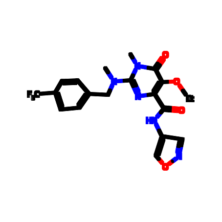 CCOc1c(C(=O)Nc2cnoc2)nc(N(C)Cc2ccc(C(F)(F)F)cc2)n(C)c1=O